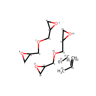 C(OCC1CO1)C1CO1.C(OCC1CO1)C1CO1.C=CC.CCC